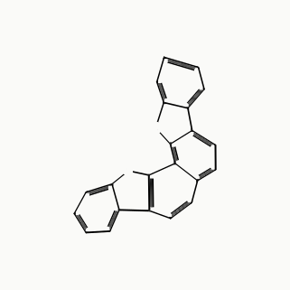 c1ccc2c(c1)sc1c2ccc2ccc3c4ccccc4sc3c21